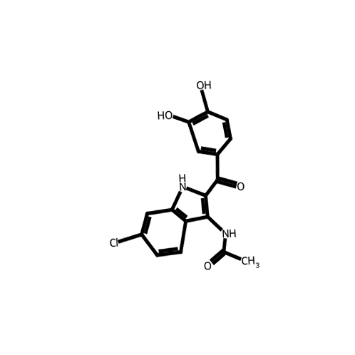 CC(=O)Nc1c(C(=O)c2ccc(O)c(O)c2)[nH]c2cc(Cl)ccc12